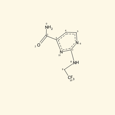 NC(=O)c1ccnc(NCC(F)(F)F)n1